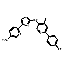 COc1ccc(-c2csc(Nc3ncc(-c4ccc(C(=O)O)cc4)cc3C)n2)nc1